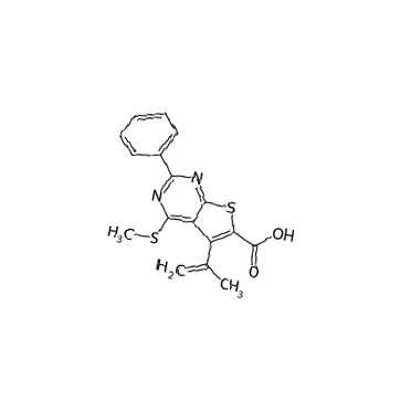 C=C(C)c1c(C(=O)O)sc2nc(-c3ccccc3)nc(SC)c12